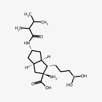 CC(C)C(N)C(=O)N[C@H]1C[C@@H]2C[C@@](N)(C(=O)O)[C@@H](CCCB(O)O)[C@@H]2C1